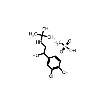 CC(C)(C)NCC(O)c1ccc(O)c(O)c1.CS(=O)(=O)O